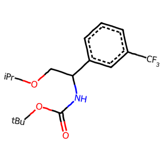 CC(C)OCC(NC(=O)OC(C)(C)C)c1cccc(C(F)(F)F)c1